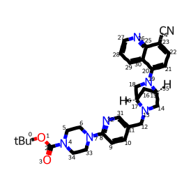 CC(C)(C)OC(=O)N1CCN(c2ccc(CN3C[C@H]4C[C@@H]3CN4c3ccc(C#N)c4ncccc34)cn2)CC1